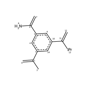 C=C(C)c1cc(C(=C)N)cc(C(=C)C(C)C)c1